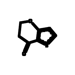 O=C1CCOc2ccsc21